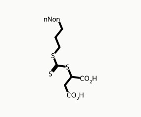 CCCCCCCCCCCCSC(=S)SC(CC(=O)O)C(=O)O